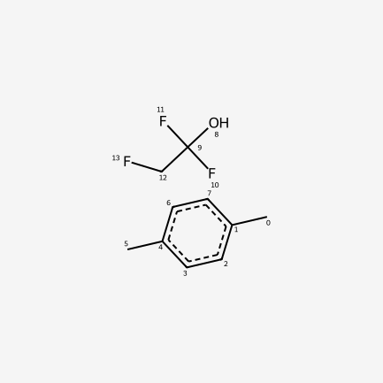 Cc1ccc(C)cc1.OC(F)(F)CF